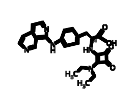 CCN(CC)c1c(N[C@@H](Cc2ccc(Nc3nccc4ccncc34)cc2)C(=O)O)c(=O)c1=O